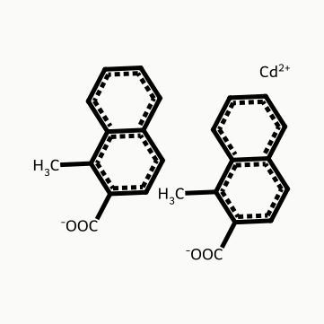 Cc1c(C(=O)[O-])ccc2ccccc12.Cc1c(C(=O)[O-])ccc2ccccc12.[Cd+2]